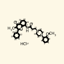 COc1ccccc1N1CCN(CCC(=O)Nc2cccc3c(=O)c(C)c(-c4ccccc4)oc23)CC1.Cl